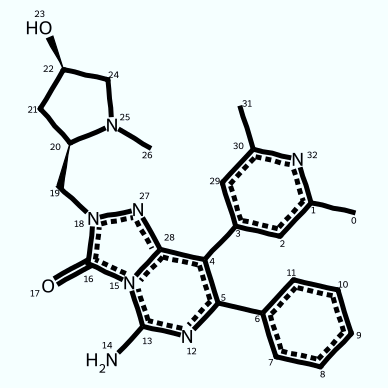 Cc1cc(-c2c(-c3ccccc3)nc(N)n3c(=O)n(C[C@H]4C[C@@H](O)CN4C)nc23)cc(C)n1